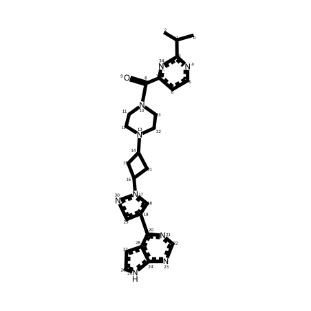 CC(C)c1nccc(C(=O)N2CCN(C3CC(n4cc(-c5ncnc6[nH]ccc56)cn4)C3)CC2)n1